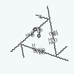 CCCCCCCCCC(CCCCCCCCNC(=O)NCCNC(=O)NCCCCCCCCC(CCCCCCCCC)C(CCCCCCCCC)CCCCCCCCNC(=O)OCc1ccccc1)C(CCCCCCCCC)CCCCCCCCNC(=O)NCCNC(=O)NCCCCCCCCC(CCCCCCCCC)C(CCCCCCCCC)CCCCCCCCNC(=O)OCc1ccccc1